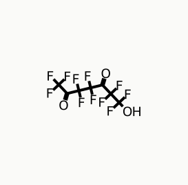 O=C(C(F)(F)F)C(F)(F)C(F)(F)C(=O)C(F)(F)C(O)(F)F